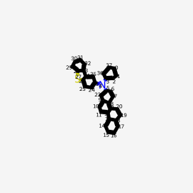 c1ccc(N(c2ccc3c(ccc4c5ccccc5ccc34)c2)c2ccc3sc4ccccc4c3c2)cc1